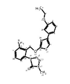 CCOc1cccc(-c2csc(OCc3c(C)cccc3-n3nnn(C)c3=O)n2)c1